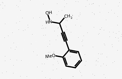 [CH2]C(C#Cc1ccccc1OC)NO